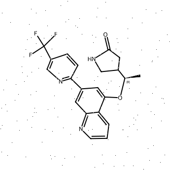 C[C@@H](Oc1cc(-c2ccc(C(F)(F)F)cn2)cc2ncccc12)C1CNC(=O)C1